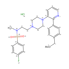 COCc1ccc(-c2ncccc2N2CCN(CCN(C)S(=O)(=O)c3ccc(F)cc3)CC2)cc1.Cl